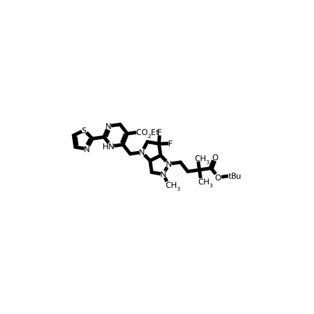 CCOC(=O)C1=C(CN2CC(F)(F)C3C2CN(C)N3CCC(C)(C)C(=O)OC(C)(C)C)NC(c2nccs2)=NC1